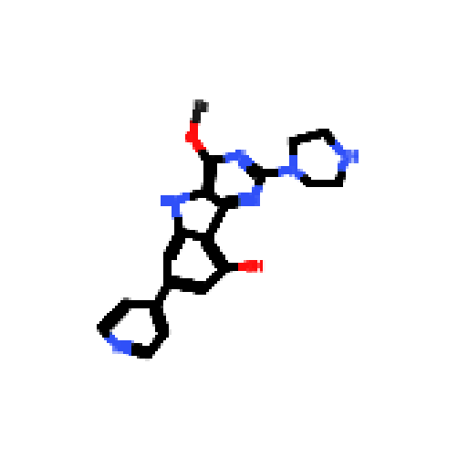 CCOc1nc(N2CCNCC2)nc2c1[nH]c1cc(-c3ccncc3)cc(O)c12